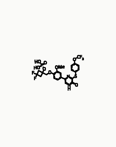 COc1cc(-c2c[nH]c(=O)c(Sc3ccc(OC(F)(F)F)cc3)n2)ccc1OCC1(OP(=O)(O)O)CC(F)(F)C1